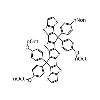 CCCCCCCCCc1ccc(C2(c3ccc(OCCCCCCCC)cc3)c3c(sc4ccsc34)-c3sc4c5c(sc4c32)-c2sc3ccsc3c2C5(c2ccc(OCCCCCCCC)cc2)c2ccc(OCCCCCCCC)cc2)cc1